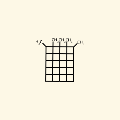 CC1C2C3C4C5CC6C7C8CC9C%10C%11C%12C(C)C%13(C)C%14(C)C1(C)C21C32C43C65C74C89C%105C%116C%12%13C%141C26C435